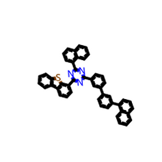 c1cc(-c2cccc(-c3cccc4ccccc34)c2)cc(-c2nc(-c3cccc4ccccc34)nc(-c3cccc4c3sc3ccccc34)n2)c1